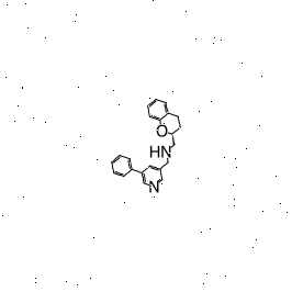 c1ccc(-c2cncc(CNC[C@@H]3CCc4ccccc4O3)c2)cc1